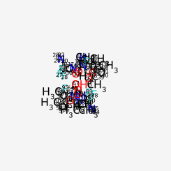 CCOC(=O)C[C@H](NC(=O)C(CC(C)(C)C)n1cc(CCN2CCC2)c(C(F)(F)F)cc1=O)c1cc(-c2c(C)cccc2C)cc(C)c1F.Cc1cc(-c2c(C)cccc2C)cc([C@H](CC(=O)O)NC(=O)C(CC(C)(C)C)n2cc(CCN3CCC3)c(C(F)(F)F)cc2=O)c1F